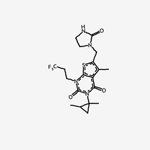 Cc1c(CN2CCNC2=O)sc2c1c(=O)n(C1(C)CC1C)c(=O)n2CCC(F)(F)F